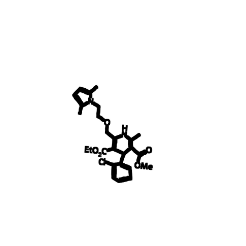 CCOC(=O)C1=C(COCCn2c(C)ccc2C)NC(C)=C(C(=O)OC)C1c1ccccc1Cl